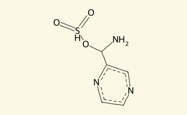 NC(O[SH](=O)=O)c1cnccn1